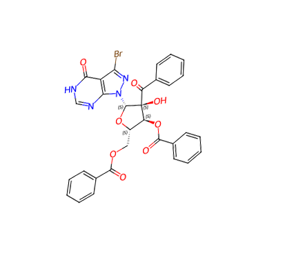 O=C(OC[C@@H]1O[C@H](n2nc(Br)c3c(=O)[nH]cnc32)[C@](O)(C(=O)c2ccccc2)[C@H]1OC(=O)c1ccccc1)c1ccccc1